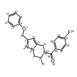 CC1Cn2nc(COc3ccccc3)cc2CN1C(=O)c1ccc(F)cc1